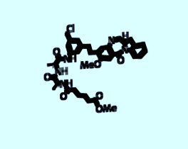 COC(=O)CCCCC(=O)N[C@@H](C)C(=O)N[C@@H](C)C(=O)Nc1cc(CCl)cc(CCc2cc3c(cc2OC)C(=O)N2c4ccccc4C[C@H]2C=N3)c1